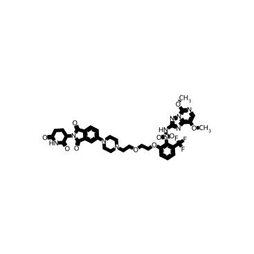 COc1cnc(OC)n2nc(NS(=O)(=O)c3c(OCCOCCN4CCN(c5ccc6c(c5)C(=O)N(C5CCC(=O)NC5=O)C6=O)CC4)cccc3C(F)(F)F)nc12